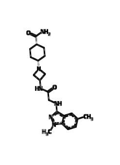 Cc1ccc2c(c1)c(NCC(=O)NC1CN([C@H]3CC[C@@H](C(N)=O)CC3)C1)nn2C